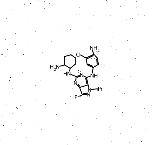 CC(C)c1nn(C(C)C)c2c(Nc3ccc(N)c(Cl)c3)nc(NC3CCCCC3N)nc12